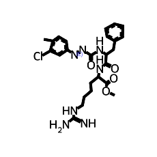 COC(=O)C(CCCCNC(=N)N)NC(=O)C(Cc1ccccc1)NC(=O)/N=N/c1ccc(C)c(Cl)c1